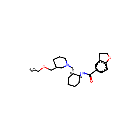 CCOCC1CCCN(C[C@H]2CCCC[C@@H]2NC(=O)c2ccc3c(c2)CCO3)C1